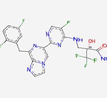 NC(=O)[C@](O)(CNc1nc(-c2cn3ccnc3c(Cc3cc(F)ccc3F)n2)ncc1F)C(F)(F)F